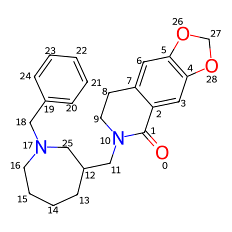 O=C1c2cc3c(cc2CCN1CC1CCCCN(Cc2ccccc2)C1)OCO3